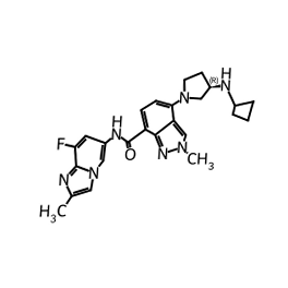 Cc1cn2cc(NC(=O)c3ccc(N4CC[C@@H](NC5CCC5)C4)c4cn(C)nc34)cc(F)c2n1